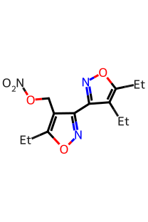 CCc1onc(-c2noc(CC)c2CO[N+](=O)[O-])c1CC